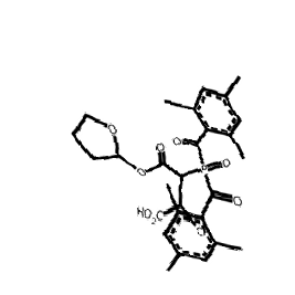 Cc1cc(C)c(C(=O)P(=O)(C(=O)c2c(C)cc(C)cc2C)C(C(=O)OC2CCCO2)C(Cl)C(=O)O)c(C)c1